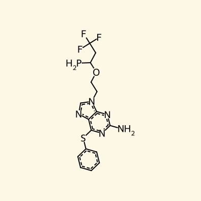 Nc1nc(Sc2ccccc2)c2ncn(CCOC(P)CC(F)(F)F)c2n1